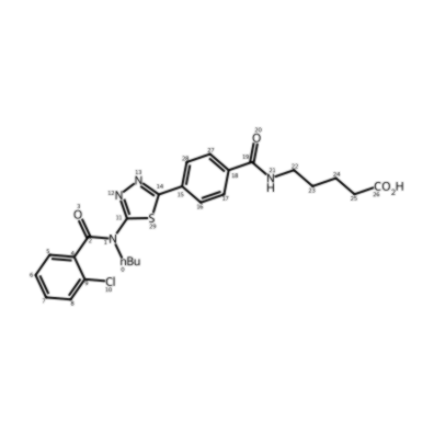 CCCCN(C(=O)c1ccccc1Cl)c1nnc(-c2ccc(C(=O)NCCCCC(=O)O)cc2)s1